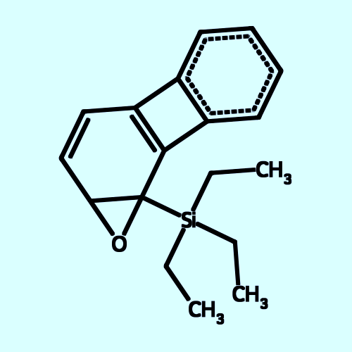 CC[Si](CC)(CC)C12OC1C=CC1=C2c2ccccc21